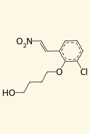 O=[N+]([O-])/C=C/c1cccc(Cl)c1OCCCCO